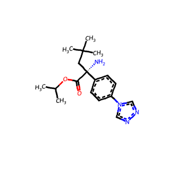 CC(C)OC(=O)[C@@](N)(CC(C)(C)C)c1ccc(-n2cnnc2)cc1